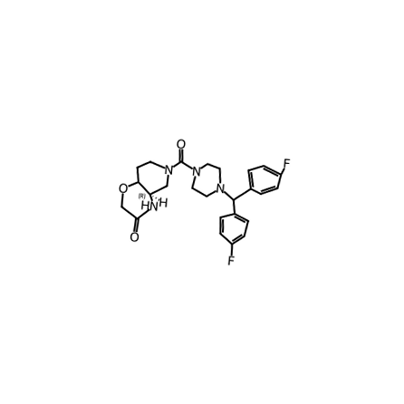 O=C1COC2CCN(C(=O)N3CCN(C(c4ccc(F)cc4)c4ccc(F)cc4)CC3)C[C@H]2N1